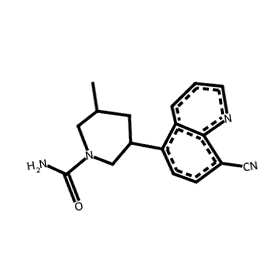 CC1CC(c2ccc(C#N)c3ncccc23)CN(C(N)=O)C1